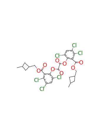 CC1CC(COC(=O)c2c(Cl)c(Cl)cc(Cl)c2OC(=O)C(=O)Oc2c(Cl)cc(Cl)c(Cl)c2C(=O)OCC2CC(C)C2)C1